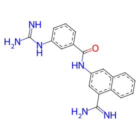 N=C(N)Nc1cccc(C(=O)Nc2cc(C(=N)N)c3ccccc3c2)c1